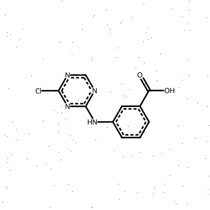 O=C(O)c1cccc(Nc2ncnc(Cl)n2)c1